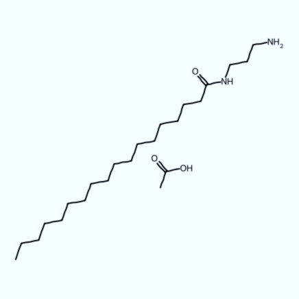 CC(=O)O.CCCCCCCCCCCCCCCCCC(=O)NCCCN